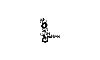 CNCC(=O)N1CCCCC1C(=O)Nc1nc2ccc(OC(F)(F)F)cc2s1